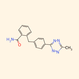 Cc1nnc(-c2ccc(Cc3ccccc3C(N)=O)cc2)nn1